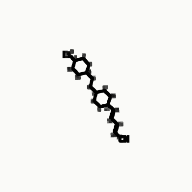 CCC1CCC(CCC2CCC(C=CC=CC#N)CC2)CC1